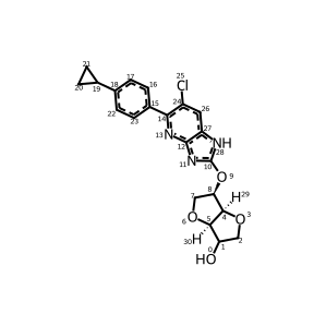 OC1CO[C@H]2[C@@H]1OC[C@H]2Oc1nc2nc(-c3ccc(C4CC4)cc3)c(Cl)cc2[nH]1